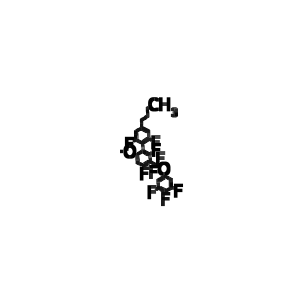 CCCCc1cc(F)c(-c2c([O])cc(F)c(C(F)(F)Oc3cc(F)c(F)c(F)c3)c2F)c(F)c1